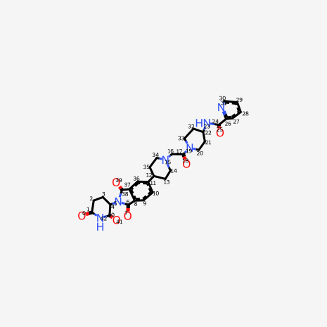 O=C1CCC(N2C(=O)c3ccc(C4CCN(CC(=O)N5CCC(NC(=O)c6ccccn6)CC5)CC4)cc3C2=O)C(=O)N1